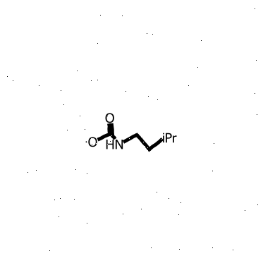 CC(C)CCNC([O])=O